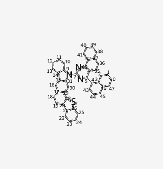 c1ccc2c(-c3nc(-n4c5ccccc5c5cc6ccc7c8ccccc8sc7c6cc54)nc4c3ccc3ccccc34)cccc2c1